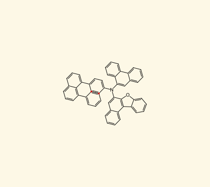 c1ccc(-c2cccc3cccc(-c4ccc(N(c5cc6ccccc6c6ccccc56)c5cc6ccccc6c6c5oc5ccccc56)cc4)c23)cc1